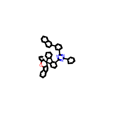 c1ccc(-c2nc(-c3cccc(-c4ccc5ccccc5c4)c3)nc(-c3cccc4c3-c3ccccc3C43c4ccccc4Oc4c3ccc3ccccc43)n2)cc1